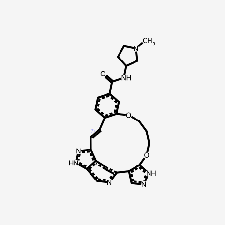 CN1CCC(NC(=O)c2ccc3c(c2)OCCCOc2[nH]ncc2-c2cc4c(n[nH]c4cn2)/C=C/3)C1